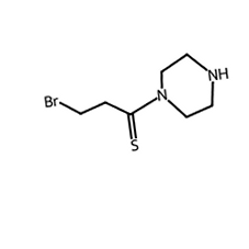 S=C(CCBr)N1CCNCC1